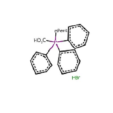 Br.CCCCCP(C(=O)O)(c1ccccc1)(c1ccccc1)c1ccccc1